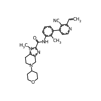 C=Cc1nccc(-c2cccc(NC(=O)c3nc4c(n3C)CCN(C3CCOCC3)C4)c2C)c1C#N